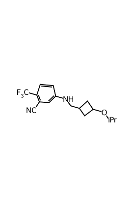 CC(C)OC1CC(CNc2ccc(C(F)(F)F)c(C#N)c2)C1